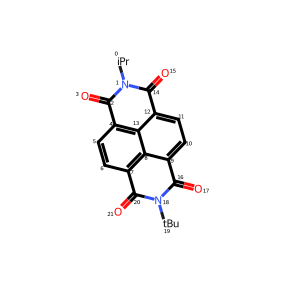 CC(C)N1C(=O)c2ccc3c4c(ccc(c24)C1=O)C(=O)N(C(C)(C)C)C3=O